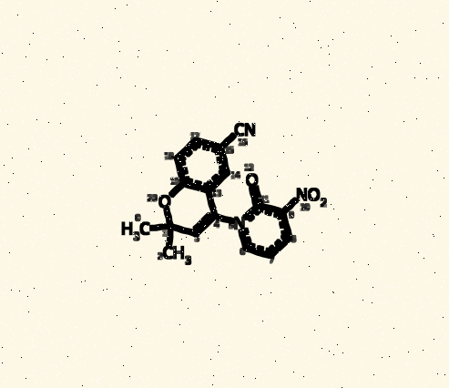 CC1(C)C=C(n2cccc([N+](=O)[O-])c2=O)c2cc(C#N)ccc2O1